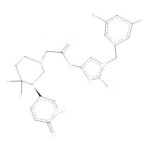 C[C@H](C(=O)Nc1cn(Cc2cc(F)cc(F)c2)c(C(F)(F)F)n1)N1CCC(F)(F)[C@H](c2ccc(=O)[nH]c2)C1